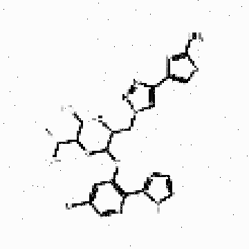 C[C@@H](O)C(CO)OC(Sc1cc(Cl)cnc1-c1ncc[nH]1)[C@@H](O)Cn1cc(-c2csc(N)n2)nn1